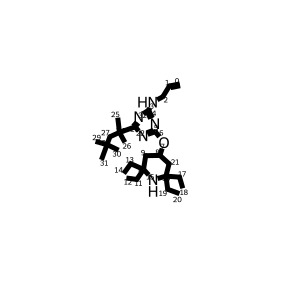 C=CCNc1nc(OC2CC(CC)(CC)NC(CC)(CC)C2)nc(C(C)(C)CC(C)(C)C)n1